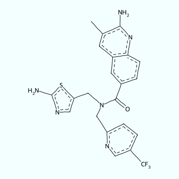 Cc1cc2cc(C(=O)N(Cc3ccc(C(F)(F)F)cn3)Cc3cnc(N)s3)ccc2nc1N